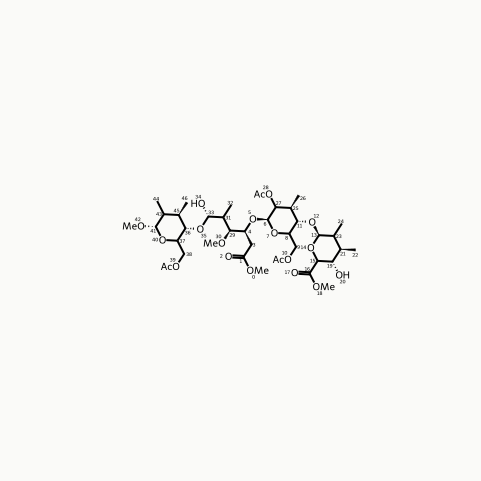 COC(=O)C[C@H](O[C@@H]1OC(COC(C)=O)[C@@H](O[C@@H]2OC(C(=O)OC)[C@@H](O)[C@H](C)C2C)[C@H](C)C1OC(C)=O)[C@@H](OC)C(C)[C@@H](O)O[C@@H]1C(COC(C)=O)O[C@H](OC)C(C)[C@H]1C